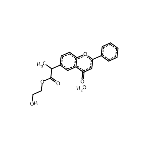 CC(C(=O)OCCO)c1ccc2oc(-c3ccccc3)cc(=O)c2c1.O